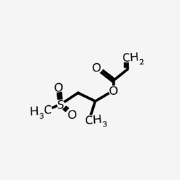 C=CC(=O)OC(C)CS(C)(=O)=O